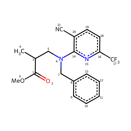 COC(=O)C(C)CN(Cc1ccccc1)c1nc(C(F)(F)F)ccc1C#N